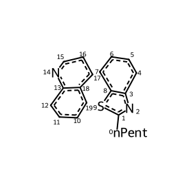 CCCCCc1nc2ccccc2s1.c1ccc2ncccc2c1